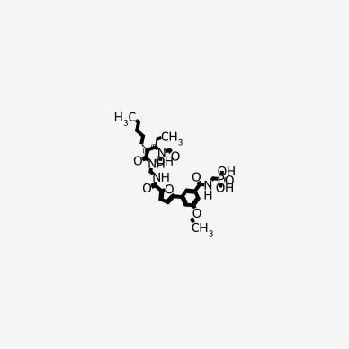 CCCCC[C@@H](C(=O)NCNC(=O)c1ccc(-c2cc(OCC)cc(C(=O)NCP(=O)(O)O)c2)o1)[C@@H](CC)N(O)C=O